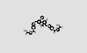 O=C(O)c1ccn(C(=O)N2CCC3(CCN(Cc4cc(Cl)c(-c5cc(Cl)cc(CN6CCC7(CCN(C(=O)n8ccc(C(=O)O)n8)CC7)C6)c5C(F)(F)F)c(N5CCCC5)c4)C3)CC2)n1